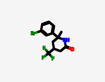 CC1(c2cccc(Br)c2)CC(C(F)(F)F)CC(=O)N1